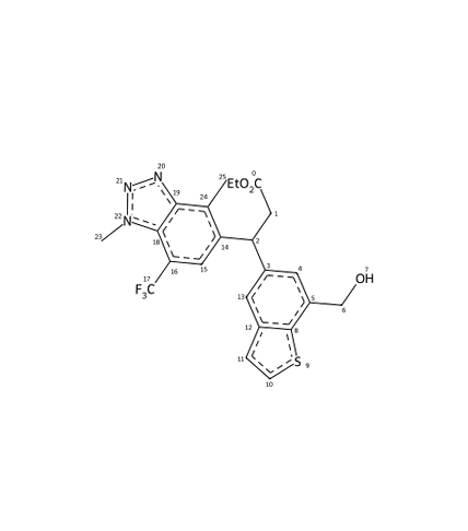 CCOC(=O)CC(c1cc(CO)c2sccc2c1)c1cc(C(F)(F)F)c2c(nnn2C)c1C